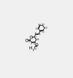 COC1=CC(=O)OC(/C=C/C2=CCCC=C2)C1